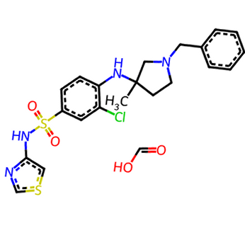 CC1(Nc2ccc(S(=O)(=O)Nc3cscn3)cc2Cl)CCN(Cc2ccccc2)C1.O=CO